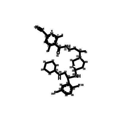 Cc1cc(C#N)nc(C)c1C(=O)NCCC(C)N1CCC(NC(CNC2CCCCC2)c2cc(F)ccc2F)CC1